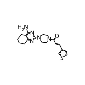 Nc1nc(N2CCN(C(=O)/C=C/c3ccsc3)CC2)nc2c1CCCC2